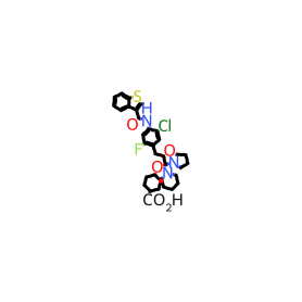 O=C(Nc1cc(F)c(CC(=O)C(OC2CCC(C(=O)O)CC2)(N2CCCCC2)N2CCCC2)cc1Cl)c1csc2ccccc12